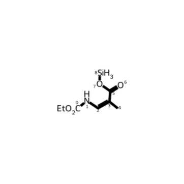 CCOC(=O)NC=C(C)C(=O)O[SiH3]